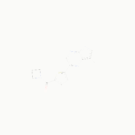 O=C(O)c1c[nH]c2ncc(-c3ccc(C(=O)N4CCC4)s3)nc12